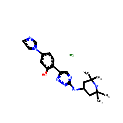 CC1(C)CC(Nc2ncc(-c3ccc(-n4ccnc4)cc3O)nn2)CC(C)(C)N1.Cl